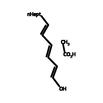 CC(=O)O.CCCCCCCC=C/C=C/C=CO